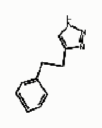 c1ccc(CCc2c[nH]nn2)cc1